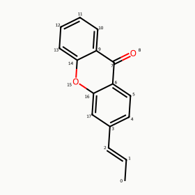 C/C=C/c1ccc2c(=O)c3ccccc3oc2c1